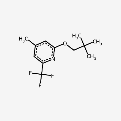 Cc1cc(OCC(C)(C)C)nc(C(F)(F)F)c1